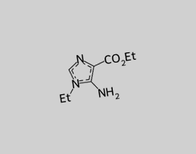 CCOC(=O)c1ncn(CC)c1N